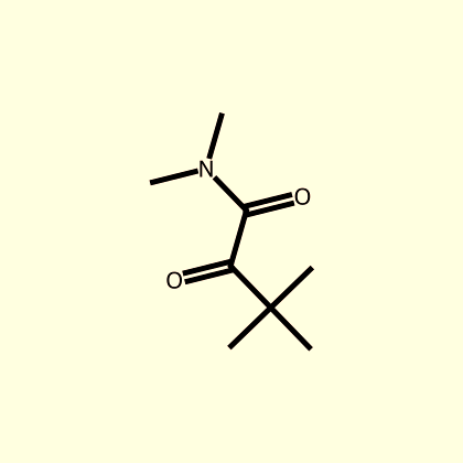 CN(C)C(=O)C(=O)C(C)(C)C